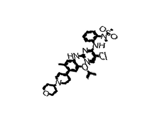 Cc1cc(Nc2ncc(Cl)c(Nc3ccccc3N(C)S(C)(=O)=O)n2)c(OC(C)C)cc1C1=CCN(C2CCOCC2)CC1